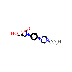 O=C(O)N1CCN(c2ccc(N3C[C@H](CO)OC3=O)cc2)CC1